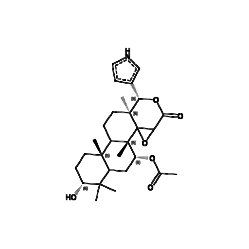 CC(=O)O[C@@H]1CC2C(C)(C)[C@H](O)CC[C@]2(C)C2CC[C@@]3(C)[C@H](c4cc[nH]c4)OC(=O)C4OC43[C@@]21C